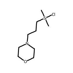 C[Si](C)(Cl)CCCN1CCOCC1